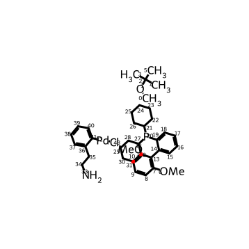 COC(C)(C)C.COc1cccc(OC)c1-c1ccccc1P(C1CCCCC1)C1CCCCC1.NCCc1cccc[c]1[Pd][Cl]